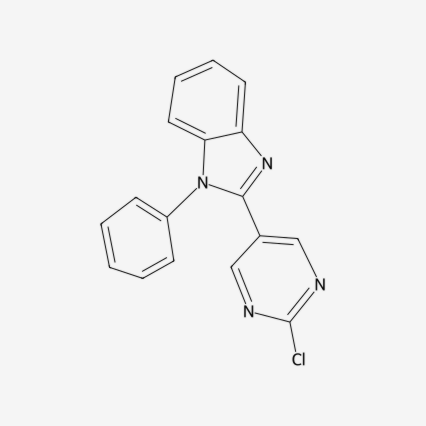 Clc1ncc(-c2nc3ccccc3n2-c2ccccc2)cn1